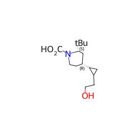 CC(C)(C)[C@@H]1C[C@H](C2CC2CCO)CCN1C(=O)O